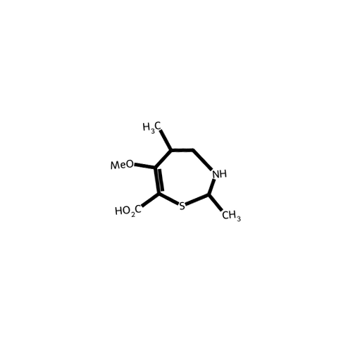 COC1=C(C(=O)O)SC(C)NCC1C